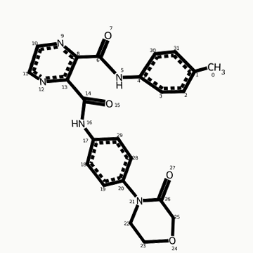 Cc1ccc(NC(=O)c2nccnc2C(=O)Nc2ccc(N3CCOCC3=O)cc2)cc1